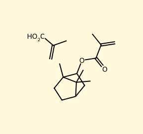 C=C(C)C(=O)O.C=C(C)C(=O)OC1CC2CCC1(C)C2(C)C